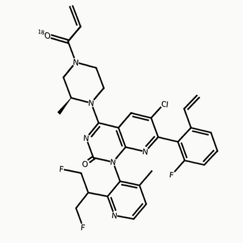 C=CC(=[18O])N1CCN(c2nc(=O)n(-c3c(C)ccnc3C(CF)CF)c3nc(-c4c(F)cccc4C=C)c(Cl)cc23)[C@@H](C)C1